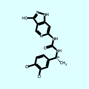 C[C@@H](NC(=O)Nc1cc2[nH]nc(O)c2cn1)c1ccc(Cl)c(Cl)c1